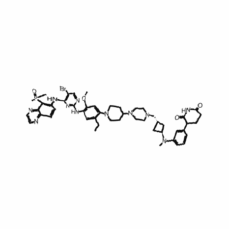 CCc1cc(Nc2ncc(Br)c(Nc3ccc4nccnc4c3P(C)(C)=O)n2)c(OC)cc1N1CCC(N2CCN(C[C@H]3C[C@H](N(C)c4cccc(C5CCC(=O)NC5=O)c4)C3)CC2)CC1